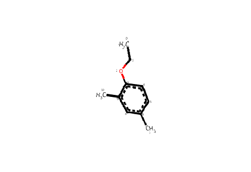 [CH2]COc1ccc(C)cc1C